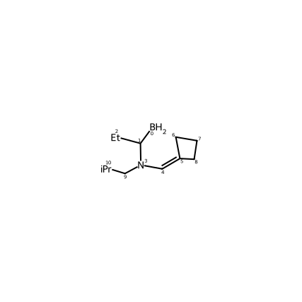 BC(CC)N(C=C1CCC1)CC(C)C